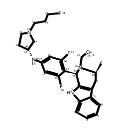 C[C@H]1Cc2c([nH]c3ccccc23)[C@@H](c2c(F)cc(N[C@@H]3CCN(CCCF)C3)cc2F)N1CC(F)(F)F